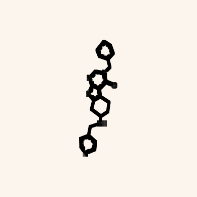 O=c1c2c3c(sc2ncn1Cc1ccccc1)CC(NCc1ccncc1)CC3